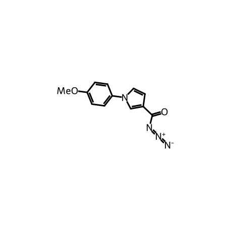 COc1ccc(-n2ccc(C(=O)N=[N+]=[N-])c2)cc1